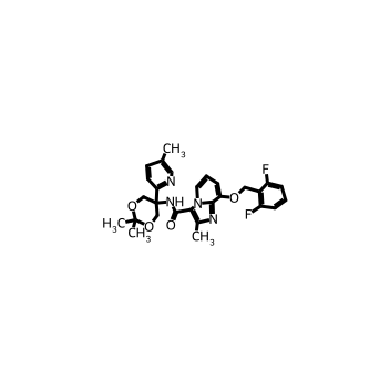 Cc1ccc(C2(NC(=O)c3c(C)nc4c(OCc5c(F)cccc5F)cccn34)COC(C)(C)OC2)nc1